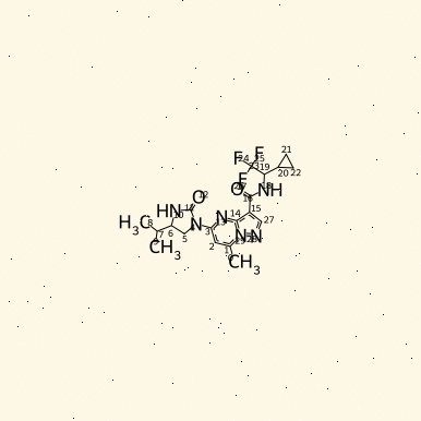 Cc1cc(N2CC(C(C)C)NC2=O)nc2c(C(=O)NC(C3CC3)C(F)(F)F)cnn12